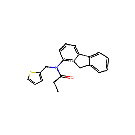 CCC(=O)N(Cc1cccs1)c1cccc2c1Cc1ccccc1-2